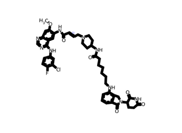 COc1cc2ncnc(Nc3ccc(F)c(Cl)c3)c2cc1NC(=O)/C=C/CN1CCC(NC(=O)CCCCCCNc2cccc3c2CN(C2CCC(=O)NC2=O)C3=O)CC1